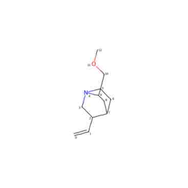 C=CC1CN2CCC1CC2COC